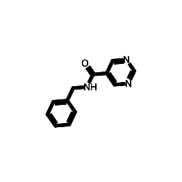 O=C(NCc1ccccc1)c1cncnc1